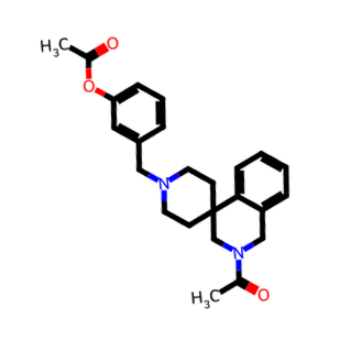 CC(=O)Oc1cccc(CN2CCC3(CC2)CN(C(C)=O)Cc2ccccc23)c1